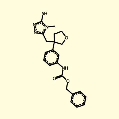 Cn1c(S)nnc1CC1(c2cccc(NC(=O)OCc3ccccc3)c2)CCOC1